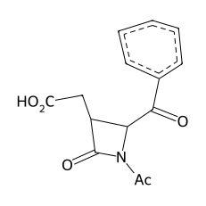 CC(=O)N1C(=O)C(CC(=O)O)C1C(=O)c1ccccc1